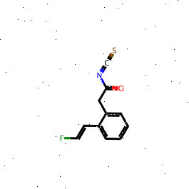 O=C(Cc1ccccc1C=CF)N=C=S